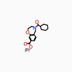 CC(C)OC(=O)c1ccc2c(c1)OCCN(C(=O)C1CCCCC1)C2